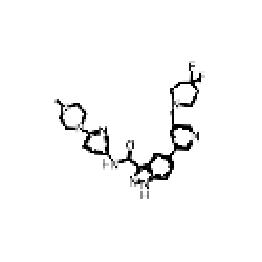 CN1CCN(c2ccc(NC(=O)c3n[nH]c4ccc(-c5cncc(CN6CCC(F)(F)CC6)c5)cc34)cn2)CC1